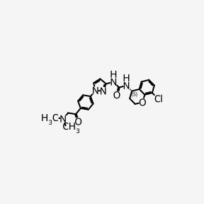 CN(C)CC(=O)c1ccc(-n2ccc(NC(=O)N[C@H]3CCOc4c(Cl)cccc43)n2)cc1